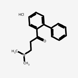 CN(C)CCC(=O)c1ccccc1-c1ccccc1.Cl